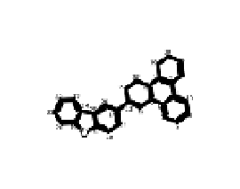 C1=Cc2c(c3c(c4ccccc24)C=C(c2ccc4oc5ccccc5c4c2)CC3)CC1